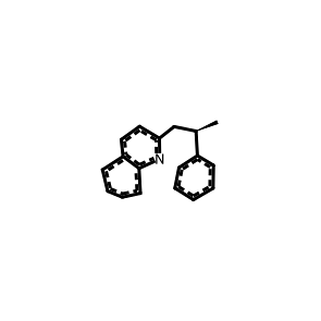 C[C@H](Cc1ccc2ccccc2n1)c1ccccc1